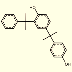 CC(C)(c1ccc(O)cc1)c1ccc(O)c(C(C)(C)c2ccccc2)c1